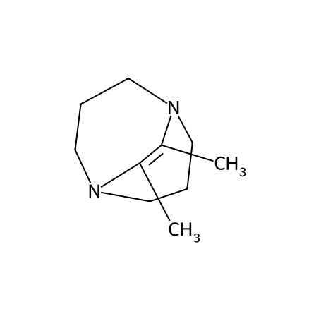 CC1=C(C)N2CCCN1CCC2